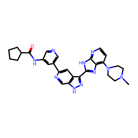 CN1CCN(c2ccnc3[nH]c(-c4n[nH]c5cnc(-c6cncc(NC(=O)C7CCCC7)c6)cc45)nc23)CC1